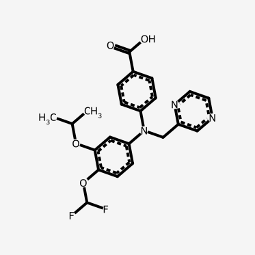 CC(C)Oc1cc(N(Cc2cnccn2)c2ccc(C(=O)O)cc2)ccc1OC(F)F